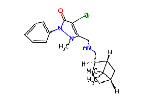 Cn1c(CNC[C@@H]2CC[C@H]3C[C@@H]2C3(C)C)c(Br)c(=O)n1-c1ccccc1